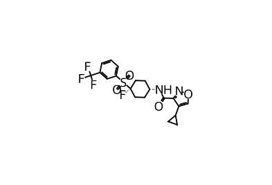 O=C(N[C@H]1CC[C@](F)(S(=O)(=O)c2cccc(C(F)(F)F)c2)CC1)c1nocc1C1CC1